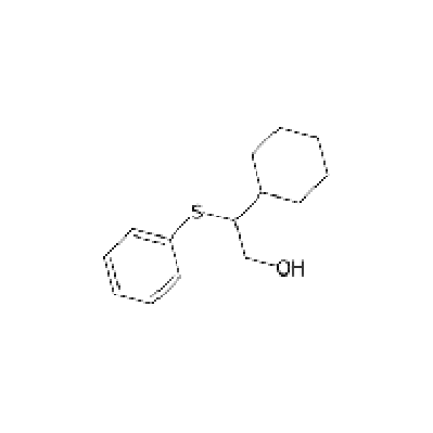 OCC(Sc1ccccc1)C1CCCCC1